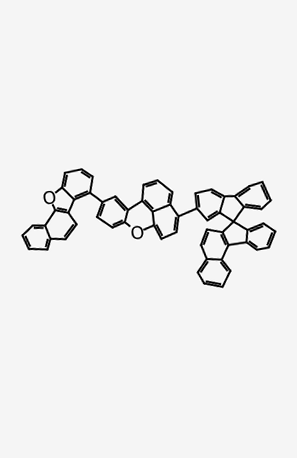 c1ccc2c(c1)-c1ccc(-c3ccc4c5c(cccc35)-c3cc(-c5cccc6oc7c8ccccc8ccc7c56)ccc3O4)cc1C21c2ccccc2-c2c1ccc1ccccc21